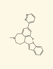 CN1CCC(c2cc3ccccc3s2)c2c(F)cc(-c3cccnn3)cc2C1